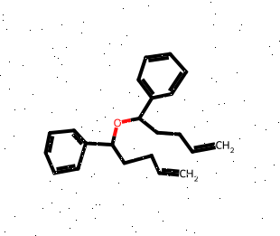 C=CCCC(OC(CCC=C)c1ccccc1)c1ccccc1